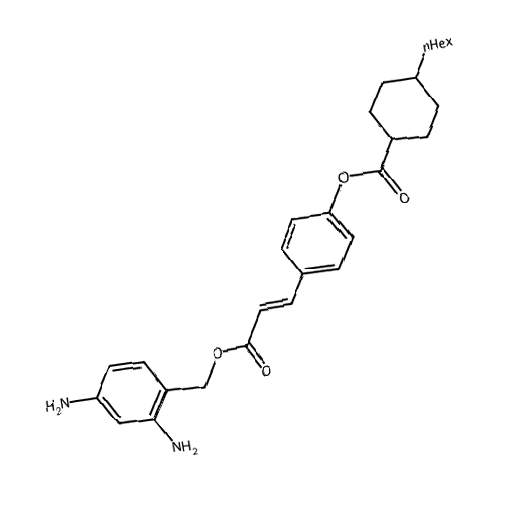 CCCCCCC1CCC(C(=O)Oc2ccc(/C=C/C(=O)OCc3ccc(N)cc3N)cc2)CC1